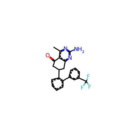 Cc1nc(N)nc2c1C(=O)CC(c1ccccc1-c1cccc(C(F)(F)F)c1)C2